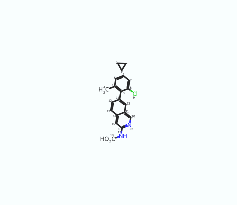 C1CC1.Cc1cccc(Cl)c1-c1ccc2cc(NC(=O)O)ncc2c1